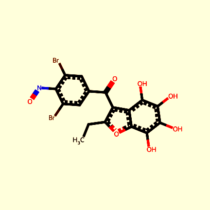 CCc1oc2c(O)c(O)c(O)c(O)c2c1C(=O)c1cc(Br)c(N=O)c(Br)c1